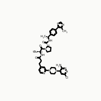 Cc1ncsc1-c1ccc([C@H](C)NC(=O)[C@@H]2CCCN2C(=O)[C@@H](NC(=O)CCc2ccnc(N3CCN(c4cc(Cl)nnc4N)CC3)c2)C(C)(C)C)cc1